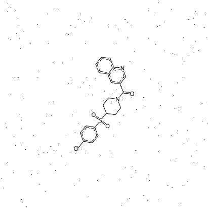 O=C(c1cnc2ccccc2c1)N1CCC(S(=O)(=O)c2ccc(Cl)cc2)CC1